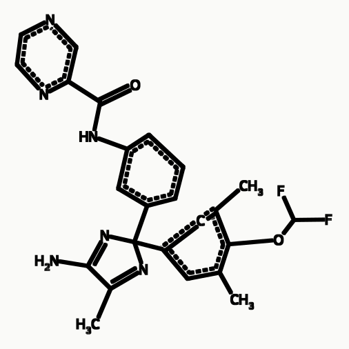 CC1=NC(c2cccc(NC(=O)c3cnccn3)c2)(c2cc(C)c(OC(F)F)c(C)c2)N=C1N